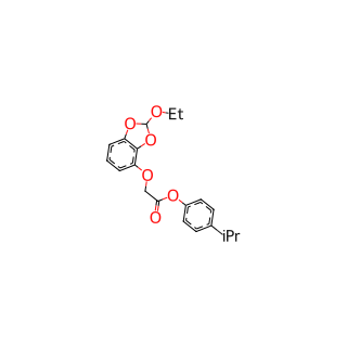 CCOC1Oc2cccc(OCC(=O)Oc3ccc(C(C)C)cc3)c2O1